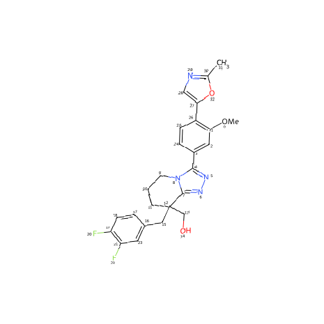 COc1cc(-c2nnc3n2CCCC3(CO)Cc2ccc(F)c(F)c2)ccc1-c1cnc(C)o1